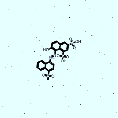 CS(=O)(=O)c1ccc(/N=N/c2c(O)ccc3cc(S(=O)(=O)O)cc(S(=O)(=O)O)c23)c2ccccc12